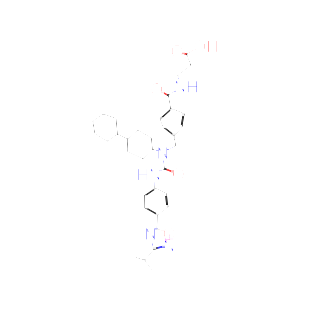 CC(C)c1noc(-c2ccc(NC(=O)N(Cc3ccc(C(=O)NCCC(=O)O)cc3)C3CCC(C4CCCCC4)CC3)cc2)n1